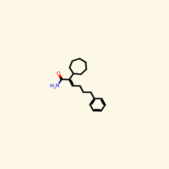 NC(=O)/C(=C/CCCc1ccccc1)C1CCCCCC1